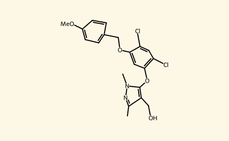 COc1ccc(COc2cc(Oc3c(CO)c(C)nn3C)c(Cl)cc2Cl)cc1